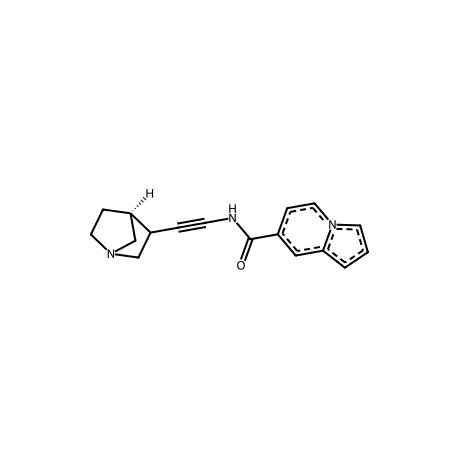 O=C(NC#CC1CN2CC[C@@H]1C2)c1ccn2cccc2c1